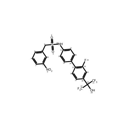 O=[N+]([O-])c1cccc(CS(=O)(=O)Nc2ccc(-c3ccc(C(O)(C(F)(F)F)C(F)(F)F)cc3F)cc2)c1